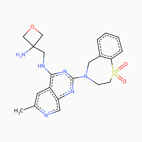 Cc1cc2c(NCC3(N)COC3)nc(N3CCS(=O)(=O)c4ccccc4C3)nc2cn1